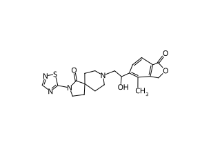 Cc1c(C(O)CN2CCC3(CC2)CCN(c2ncns2)C3=O)ccc2c1COC2=O